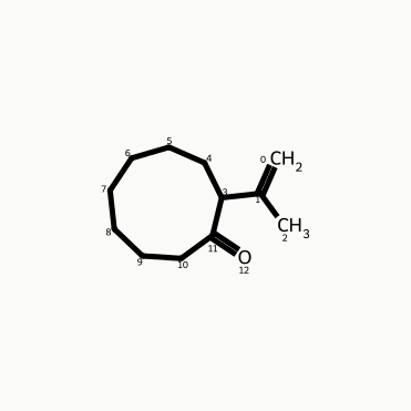 C=C(C)C1CCCCCCCC1=O